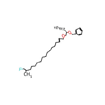 CCCCCC(COC/C=C/CCCCCCCCCCCCC(C)CF)OCc1ccccc1